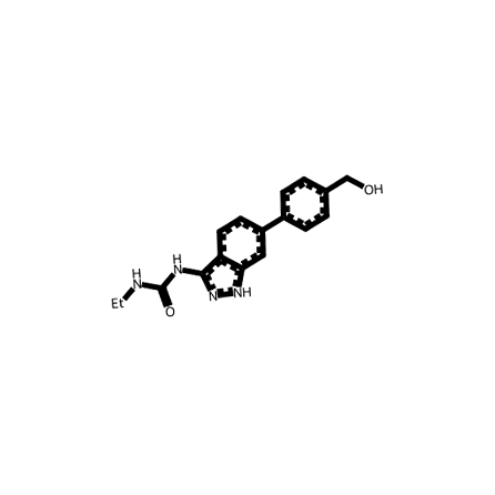 CCNC(=O)Nc1n[nH]c2cc(-c3ccc(CO)cc3)ccc12